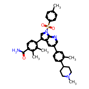 Cc1ccc(S(=O)(=O)n2cc(-c3ccc(C(N)=O)c(C)c3C)c3cc(-c4ccc(C5CCN(C)CC5)c(C)c4)cnc32)cc1